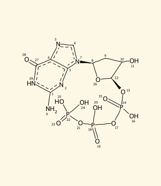 Nc1nc2c(ncn2[C@H]2CC(O)[C@@H](OP(=O)(O)OP(=O)(O)OP(=O)(O)O)O2)c(=O)[nH]1